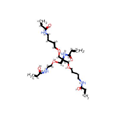 C=CC(=O)NCCCCOCC(COCCCCNC(=O)C=C)(COCCNC(=O)C=C)NC(=O)C=C